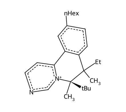 CCCCCCc1ccc2c(c1)-c1ccnc[n+]1[C@](C)(C(C)(C)C)C2(C)CC